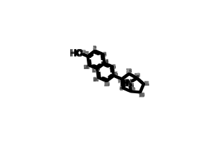 Oc1ccc2cc(C3=CC4CCC(C3)N4)ccc2c1